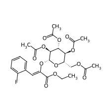 CCOC(=O)/C(=C/c1ccccc1F)O[C@H]1O[C@@H](COC(C)=O)[C@H](OC(C)=O)[C@@H](OC(C)=O)[C@@H]1OC(C)=O